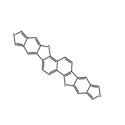 c1scc2cc3c(cc12)sc1c3ccc2c1ccc1c3cc4cscc4cc3sc12